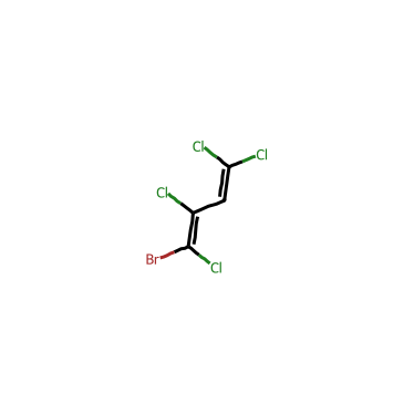 ClC(Cl)=C/C(Cl)=C(\Cl)Br